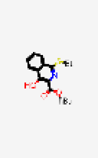 CCCCOC(=O)c1nc(SCC)c2ccccc2c1O